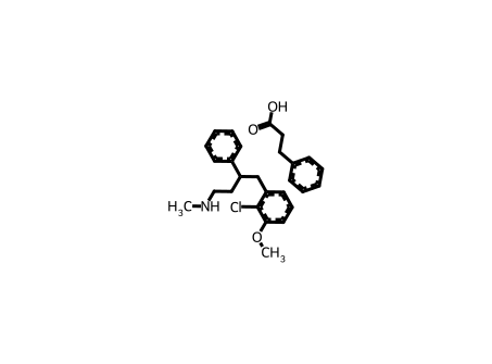 CNCCC(Cc1cccc(OC)c1Cl)c1ccccc1.O=C(O)CCc1ccccc1